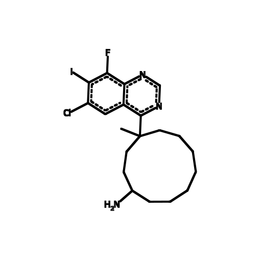 CC1(c2ncnc3c(F)c(I)c(Cl)cc23)CCCCCCCC(N)CC1